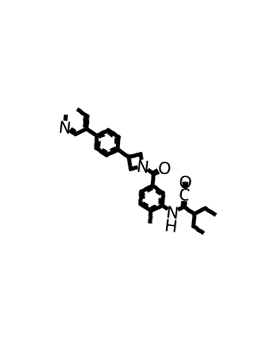 C/C=C(\C=N/C)c1ccc(C2CN(C(=O)c3ccc(C)c(NC(=C=O)C(CC)CC)c3)C2)cc1